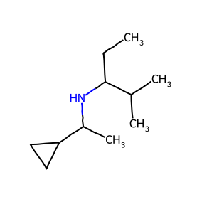 CCC(NC(C)C1CC1)C(C)C